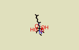 CCC(N(CC)CC)C(C/C=C(\C)CCC=C(C)C)(C(=O)O)C(=O)O